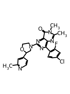 Cc1cc(C2CN(c3nc(-c4ccc(Cl)cc4F)c4nc(C)n(C)c(=O)c4n3)CCO2)ccn1